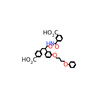 O=C(O)c1ccc(CC(CONC(=O)c2cccc(C(=O)O)c2)c2cccc(OCCCCOc3ccccc3)c2)cc1